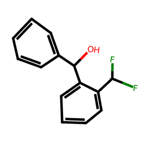 OC(c1ccccc1)c1ccccc1[C](F)F